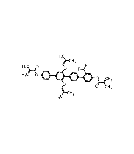 C=C(C)C(=O)Oc1ccc(-c2cc(OC=C(C)C)c(-c3ccc(-c4ccc(OC(=O)C(=C)C)cc4C(F)F)cc3)c(OC=C(C)C)c2)cc1